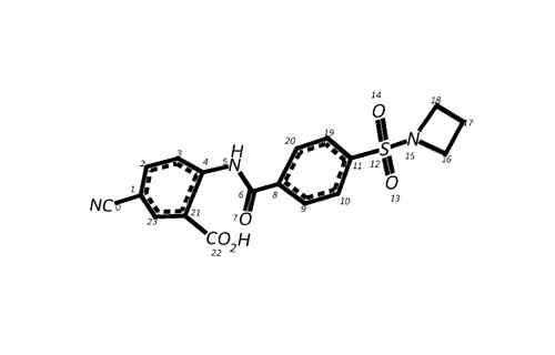 N#Cc1ccc(NC(=O)c2ccc(S(=O)(=O)N3CCC3)cc2)c(C(=O)O)c1